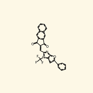 O=C1C(=Cc2nc3oc(-c4ccccc4)cc3n2C(F)(F)F)C(=O)c2cc3ccccc3cc21